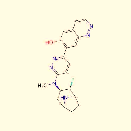 CN(c1ccc(-c2cc3nnccc3cc2O)nn1)[C@@H]1CC2CCC(N2)[C@@H]1F